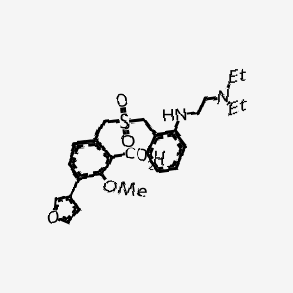 CCN(CC)CCNc1ccccc1CS(=O)(=O)Cc1ccc(-c2ccoc2)c(OC)c1C(=O)O